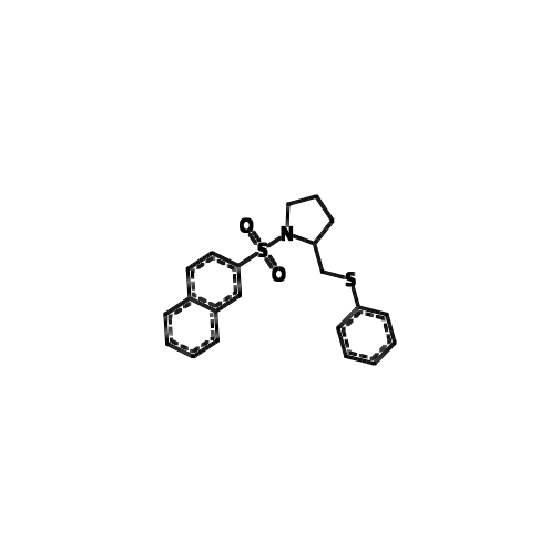 O=S(=O)(c1ccc2ccccc2c1)N1CCCC1CSc1ccccc1